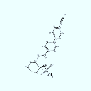 CS(=O)(=O)N[C@H]1CCOC[C@@H]1COc1ccc(-c2ccc(C#N)cn2)cc1